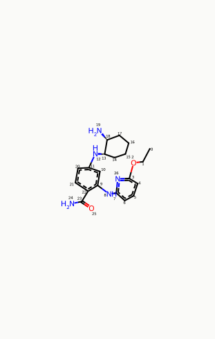 CCOc1cccc(Nc2cc(N[C@@H]3CCCC[C@@H]3N)ccc2C(N)=O)n1